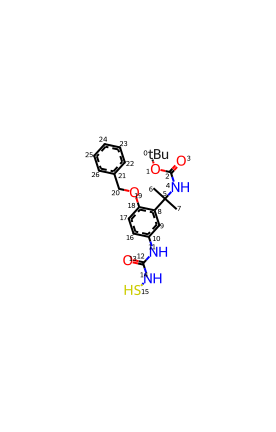 CC(C)(C)OC(=O)NC(C)(C)c1cc(NC(=O)NS)ccc1OCc1ccccc1